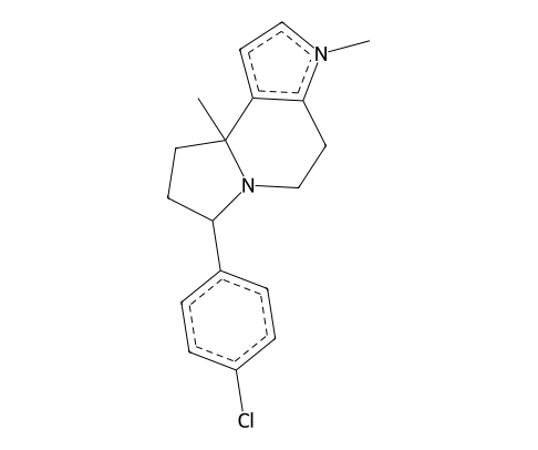 Cn1ccc2c1CCN1C(c3ccc(Cl)cc3)CCC21C